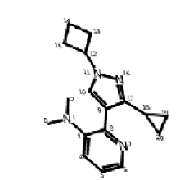 CN(C)c1cccnc1-c1cn(C2CCC2)nc1C1CC1